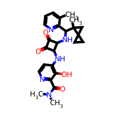 Cc1cccnc1C(NC1C(=O)C(=O)C1Nc1ccnc(C(=O)N(C)C)c1O)C1(C)CC12CC2